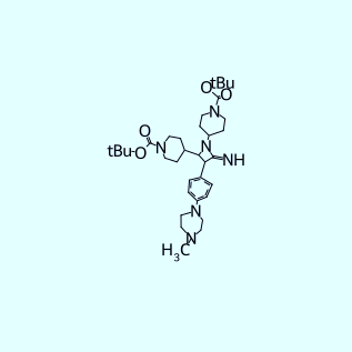 CN1CCN(c2ccc(C3C(=N)N(C4CCN(C(=O)OC(C)(C)C)CC4)C3C3CCN(C(=O)OC(C)(C)C)CC3)cc2)CC1